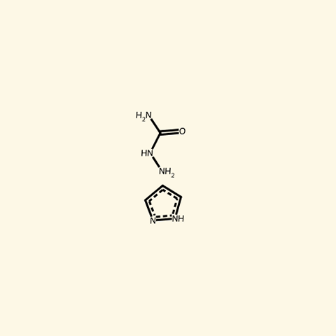 NNC(N)=O.c1cn[nH]c1